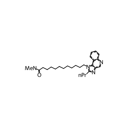 CCCc1nc2cnc3ccccc3c2n1CCCCCCCCCCCC(=O)NC